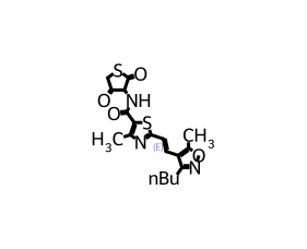 CCCCc1noc(C)c1/C=C/c1nc(C)c(C(=O)NC2C(=O)CSC2=O)s1